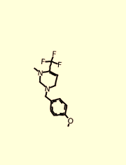 COc1ccc(CN2CC=C(C(F)(F)F)N(C)C2)cc1